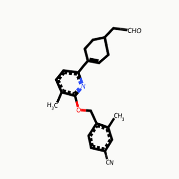 Cc1cc(C#N)ccc1COc1nc(C2=CCC(CC=O)CC2)ccc1C